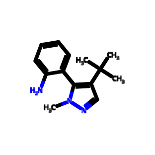 Cn1ncc(C(C)(C)C)c1-c1ccccc1N